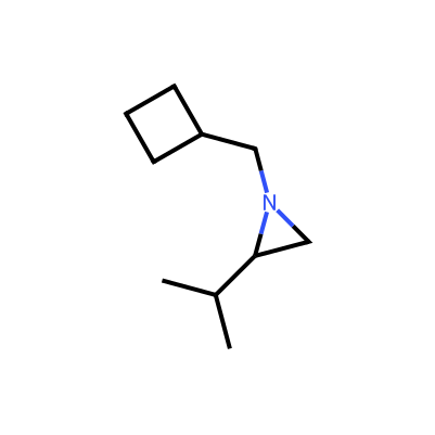 CC(C)C1CN1CC1CCC1